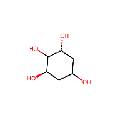 OC1C[C@@H](O)C(O)[C@H](O)C1